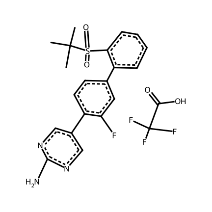 CC(C)(C)S(=O)(=O)c1ccccc1-c1ccc(-c2cnc(N)nc2)c(F)c1.O=C(O)C(F)(F)F